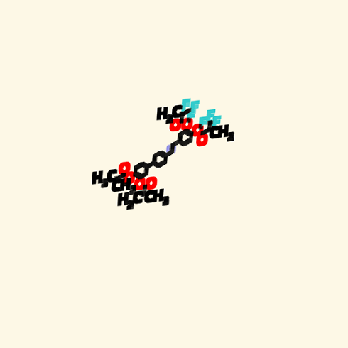 C=C(C)C(=O)Oc1ccc(-c2ccc(/C=C/c3ccc(OC(=O)C(=C)C(F)(F)F)c(OC(=O)C(=C)C(F)(F)F)c3)cc2)cc1OC(=O)C(=C)C